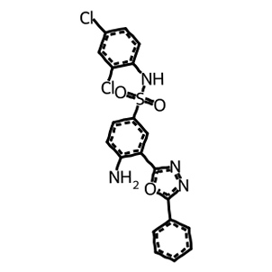 Nc1ccc(S(=O)(=O)Nc2ccc(Cl)cc2Cl)cc1-c1nnc(-c2ccccc2)o1